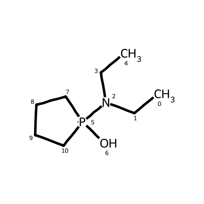 CCN(CC)[P]1(O)CCCC1